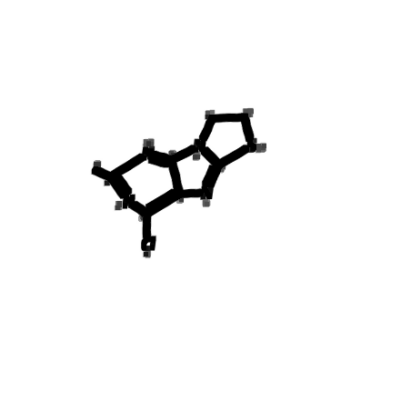 Cc1nc(Cl)c2nc3n(c2n1)CCS3